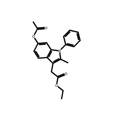 CCOC(=O)Cc1c(C)n(-c2ccccc2)c2cc(OC(C)=O)ccc12